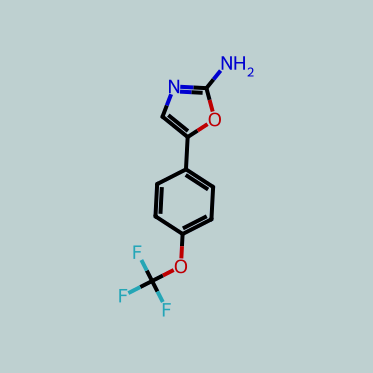 Nc1ncc(-c2ccc(OC(F)(F)F)cc2)o1